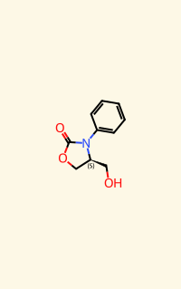 O=C1OC[C@H](CO)N1c1ccccc1